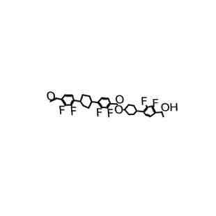 CC(O)c1ccc(C2CCC(OC(=O)c3ccc(C4CCC(c5ccc(C6CO6)c(F)c5F)CC4)c(F)c3F)CC2)c(F)c1F